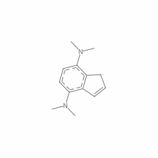 CN(C)c1ccc(N(C)C)c2c1[CH]C=C2